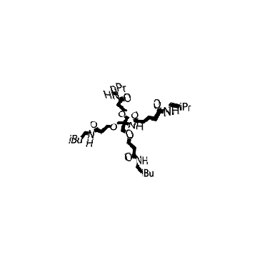 CCCNC(=O)CCOCC(COCCC(=O)NCC(C)CC)(COCCC(=O)NCC(C)CC)NC(=O)CCCC(=O)NCC(C)C